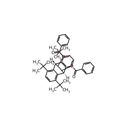 CC(C)(C)c1cccc2c1[C@H]1c3c(C(C)(C)C)ccc(C(C)(C)C)c3[C@H]2C(OC(=O)c2ccccc2)C1OC(=O)c1ccccc1